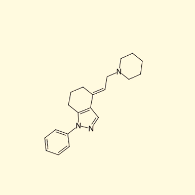 C(CN1CCCCC1)=C1CCCc2c1cnn2-c1ccccc1